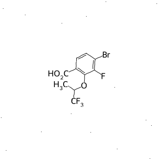 CC(Oc1c(C(=O)O)ccc(Br)c1F)C(F)(F)F